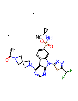 CC(C)C(=O)N1CC2(C1)CN(c1ncnc3c1c1ccc(S(=O)(=O)NC4(C#N)CC4)cc1n3-c1nnc(C(F)F)s1)C2